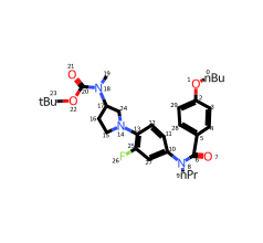 CCCCOc1ccc(C(=O)N(CCC)c2ccc(N3CCC(N(C)C(=O)OC(C)(C)C)C3)c(F)c2)cc1